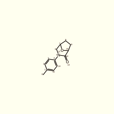 Cc1ccc(N2CC3CCC(O3)C2=O)cc1